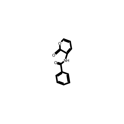 O=C(Nc1cccoc1=O)c1ccccc1